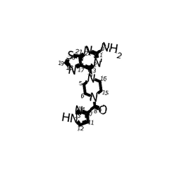 Nc1nc(N2CCN(C(=O)c3cc[nH]n3)CC2)c2ncsc2n1